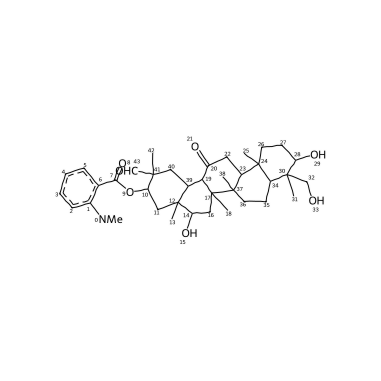 CNc1ccccc1C(=O)OC1CC2(C)C(O)CC3(C)C(C(=O)CC4C5(C)CCC(O)C(C)(CO)C5CCC43C)C2CC1(C)C=O